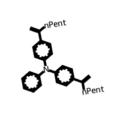 C=C(CCCCC)c1ccc(N(c2ccccc2)c2ccc(C(=C)CCCCC)cc2)cc1